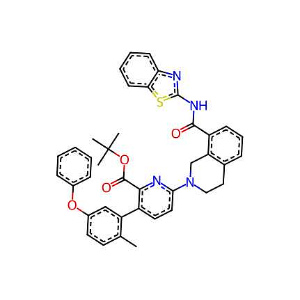 Cc1ccc(Oc2ccccc2)cc1-c1ccc(N2CCc3cccc(C(=O)Nc4nc5ccccc5s4)c3C2)nc1C(=O)OC(C)(C)C